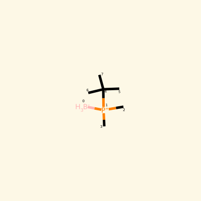 [BH3-][P+](C)(C)C(C)(C)C